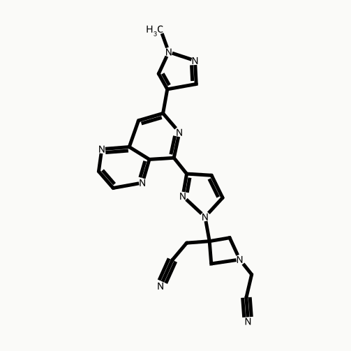 Cn1cc(-c2cc3nccnc3c(-c3ccn(C4(CC#N)CN(CC#N)C4)n3)n2)cn1